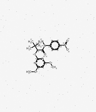 COc1cc(OC)nc(SC(C(=O)N(N)c2ccc([N+](=O)[O-])cc2)C(C)(C)C)n1